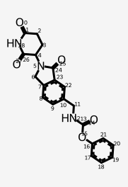 O=C1CCC(N2Cc3ccc(CNC(=O)Oc4ccccc4)cc3C2=O)C(=O)N1